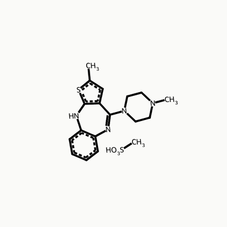 CS(=O)(=O)O.Cc1cc2c(s1)Nc1ccccc1N=C2N1CCN(C)CC1